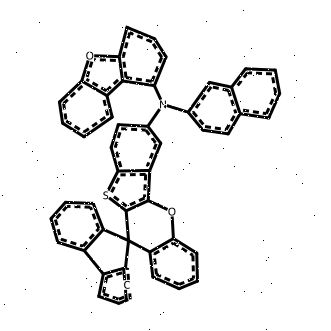 c1ccc2c(c1)Oc1c(sc3ccc(N(c4ccc5ccccc5c4)c4cccc5oc6ccccc6c45)cc13)C21c2ccccc2-c2ccccc21